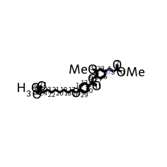 COC(=O)/C=C/c1ccc(OC(=O)c2ccc(OCCCCCCCCS(C)(=O)=O)cc2)c(OC)c1